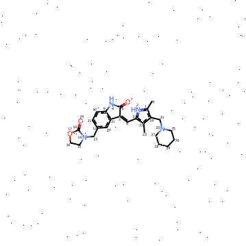 Cc1[nH]c(C=C2C(=O)Nc3ccc(CN4CCOC4=O)cc32)c(C)c1CN1CCCCC1